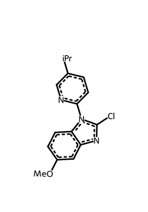 COc1ccc2c(c1)nc(Cl)n2-c1ccc(C(C)C)cn1